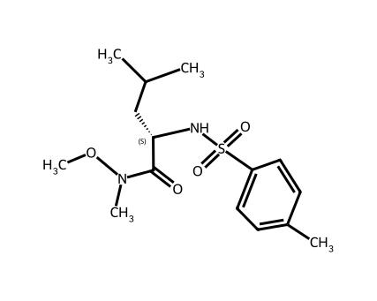 CON(C)C(=O)[C@H](CC(C)C)NS(=O)(=O)c1ccc(C)cc1